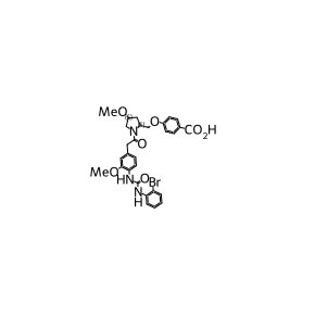 COc1cc(CC(=O)N2C[C@@H](OC)C[C@H]2COc2ccc(C(=O)O)cc2)ccc1NC(=O)Nc1ccccc1Br